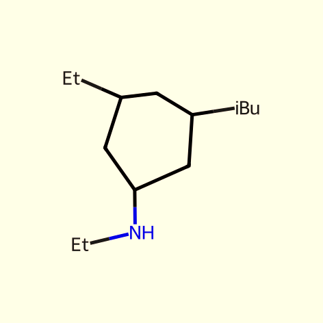 CCNC1CC(CC)CC(C(C)CC)C1